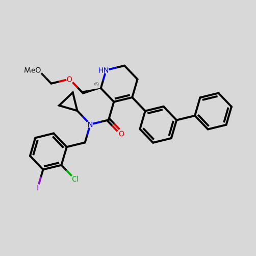 COCOC[C@H]1NCCC(c2cccc(-c3ccccc3)c2)=C1C(=O)N(Cc1cccc(I)c1Cl)C1CC1